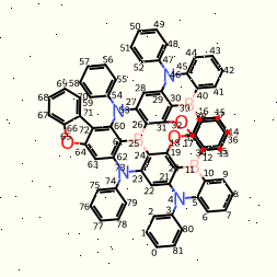 c1ccc(N2c3ccccc3B3c4ccccc4Oc4c3c2cc2c4B3c4c(cc5c6c4Oc4ccccc4B6c4ccccc4N5c4ccccc4)N(c4ccccc4)c4c3c(cc3oc5ccccc5c43)N2c2ccccc2)cc1